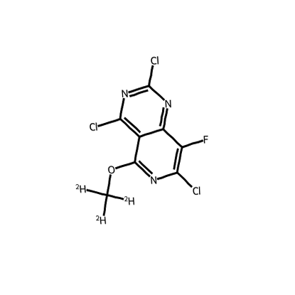 [2H]C([2H])([2H])Oc1nc(Cl)c(F)c2nc(Cl)nc(Cl)c12